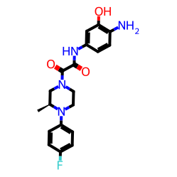 C[C@H]1CN(C(=O)C(=O)Nc2ccc(N)c(O)c2)CCN1c1ccc(F)cc1